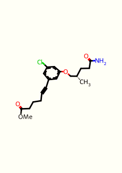 COC(=O)CCCC#Cc1cc(Cl)cc(OC[C@@H](C)CCC(N)=O)c1